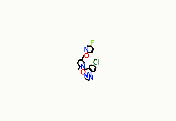 CC1CCC(COc2ccc(F)cn2)CN1C(=O)c1cc(Cl)ccc1-n1nccn1